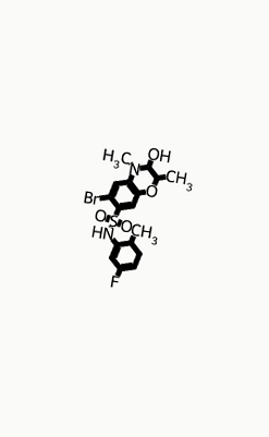 CC1CC=C(F)C=C1NS(=O)(=O)c1cc2c(cc1Br)N(C)C(O)C(C)O2